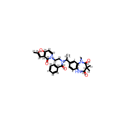 CCC(c1ccc2c(c1)N(C)C(=O)C(C)(C)C(=O)N2)N(CCn1ccc2oc(C)cc2c1=O)C(=O)c1ccccc1